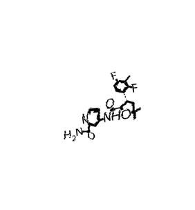 Cc1c(F)ccc([C@@H]2CC(C)(C)O[C@H]2C(=O)Nc2ccnc(C(N)=O)c2)c1F